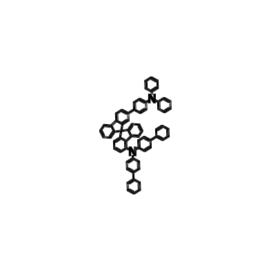 c1ccc(-c2ccc(N(c3ccc(-c4ccccc4)cc3)c3cccc4c3-c3ccccc3C43c4ccccc4-c4ccc(-c5ccc(N(c6ccccc6)c6ccccc6)cc5)cc43)cc2)cc1